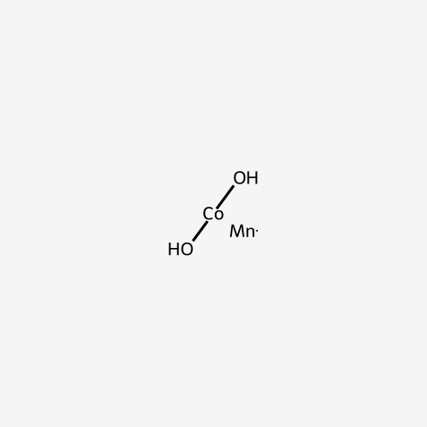 [Mn].[OH][Co][OH]